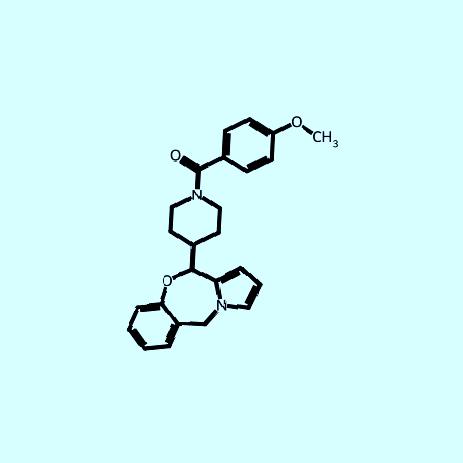 COc1ccc(C(=O)N2CCC(C3Oc4ccccc4Cn4cccc43)CC2)cc1